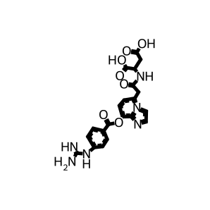 N=C(N)Nc1ccc(C(=O)Oc2ccc(CC(=O)NC(CC(=O)O)C(=O)O)n3ccnc23)cc1